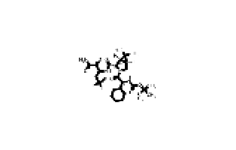 CC(C)(C)OC(=O)N[C@H](C(=O)N1C[C@H]2[C@@H]([C@H]1C(=O)NC(CC(F)(F)F)C(=O)C(N)=O)C2(C)C)C1CCCCC1